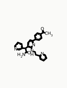 CC(=O)c1ccc(-c2ccc(C(C(N)=O)c3cccnc3)c(NCCc3ccccn3)n2)cc1